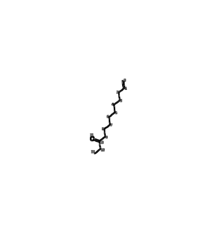 C=CCCCCCCCCC(=O)CC